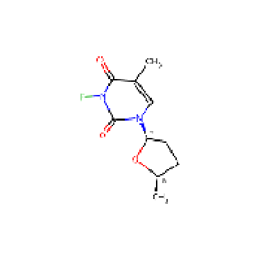 Cc1cn([C@H]2CC[C@@H](C)O2)c(=O)n(F)c1=O